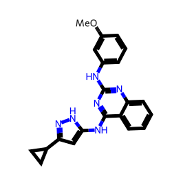 COc1cccc(Nc2nc(Nc3cc(C4CC4)n[nH]3)c3ccccc3n2)c1